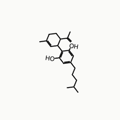 C=C(C)C1CCC(C)=CC1c1c(O)cc(CCCC(C)C)cc1O